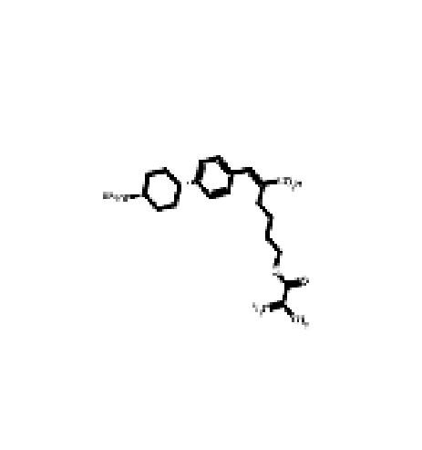 C=C(C)C(=O)OCCCCC(=Cc1ccc([C@H]2CC[C@H](CCCCC)CC2)cc1)C(=O)O